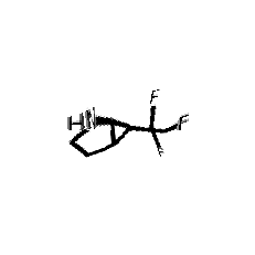 FC(F)(F)C1C2CCNC21